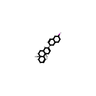 IC1CCC2C[C@@H](C3=CC[C@H]4C(CC[C@H]5CCC=CC54)C3)C=CC2C1